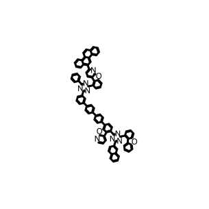 c1ccc(-c2nc(-c3cccc(-c4ccc(-c5ccc(-c6ccc(-c7nc(-c8ccc9ccccc9c8)nc(-c8cccc9oc%10ccccc%10c89)n7)c7c6oc6ncccc67)cc5)cc4)c3)nc(-c3cccc4oc5nc(-c6cc7c8ccccc8ccc7c7ccccc67)ccc5c34)n2)cc1